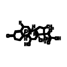 CC1C[C@H]2[C@@H]3CC(F)C4=CC(=O)CC[C@]4(C)[C@H]3C(O)C[C@]2(C)[C@@]1(O)C(=O)C(=O)O